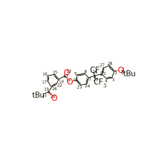 CC(C)(C)Oc1ccc(C(c2ccc(OC(=O)c3cccc(C(=O)C(C)(C)C)c3)cc2)(C(F)(F)F)C(F)(F)F)cc1